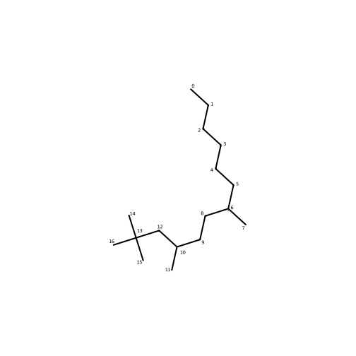 CCCCCC[C](C)CCC(C)CC(C)(C)C